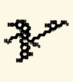 CCCC[C@@H](C)[C@@H](OC(=O)C[C@@H](CC(=O)O)C(=O)O)[C@H](C[C@@H](C)CCCCCC[C@@H](O)C[C@H](O)CN)OC(=O)C[C@@H](CC(=O)O)C(=O)O